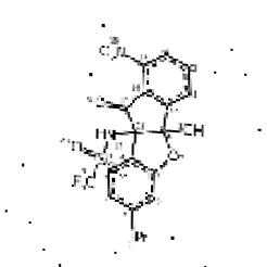 CC(C)c1ccc2c(c1)OC1(O)c3cccc([N+](=O)[O-])c3C(=O)C21NS(=O)(=O)C(F)(F)F